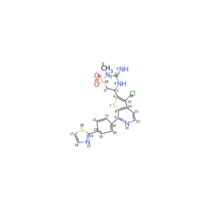 CN1C(=N)NC(c2sc3c(-c4ccc(-c5nccs5)cc4)nccc3c2Cl)CS1(=O)=O